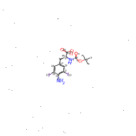 CC(C)(C)OC(=O)N[C@@H](Cc1cc(I)c(N)c(I)c1)C(=O)O